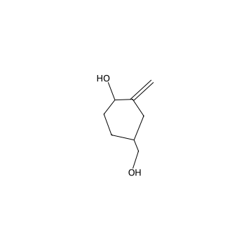 C=C1CC(CO)CCC1O